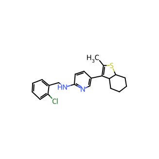 CC1=C(c2ccc(NCc3ccccc3Cl)nc2)C2CCCCC2S1